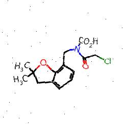 CC1(C)Cc2cccc(CN(C(=O)O)C(=O)CCl)c2O1